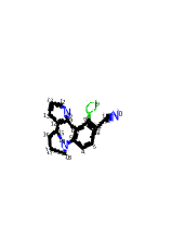 N#Cc1ccc2c(c1Cl)-c1ncccc1C1CCCN21